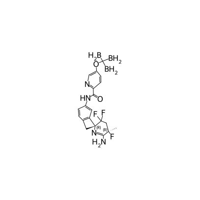 BC(B)(B)Oc1ccc(C(=O)Nc2ccc3c(c2)[C@@]2(C3)N=C(N)[C@](C)(F)CC2(F)F)nc1